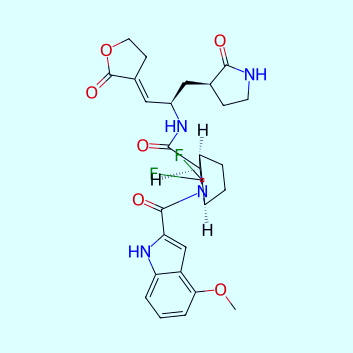 COc1cccc2[nH]c(C(=O)N3[C@@H]4CC[C@H]([C@@H]3C(=O)N[C@@H](/C=C3\CCOC3=O)C[C@@H]3CCNC3=O)C(F)(F)C4)cc12